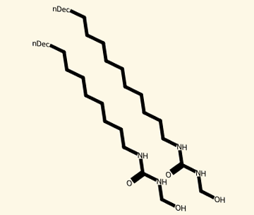 CCCCCCCCCCCCCCCCCCCCNC(=O)NCO.CCCCCCCCCCCCCCCCCCNC(=O)NCO